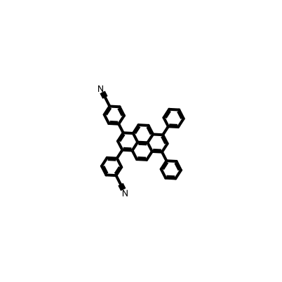 N#Cc1ccc(-c2cc(-c3cccc(C#N)c3)c3ccc4c(-c5ccccc5)cc(-c5ccccc5)c5ccc2c3c54)cc1